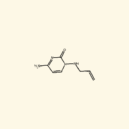 C=CCNn1ccc(N)nc1=O